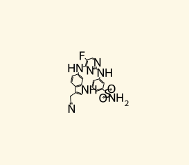 N#CCc1c[nH]c2cc(Nc3nc(Nc4cccc(S(N)(=O)=O)c4)ncc3F)ccc12